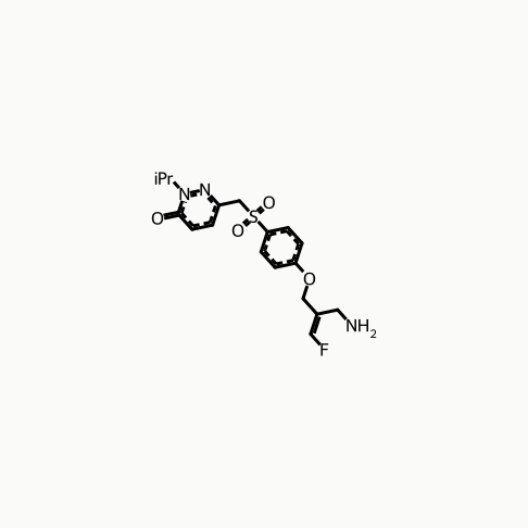 CC(C)n1nc(CS(=O)(=O)c2ccc(OCC(=CF)CN)cc2)ccc1=O